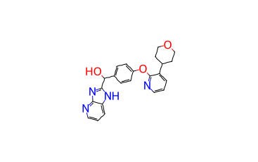 OC(c1ccc(Oc2ncccc2C2CCOCC2)cc1)c1nc2ncccc2[nH]1